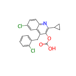 O=C(O)Oc1c(C2CC2)nc2ccc(Cl)cc2c1Cc1ccccc1Cl